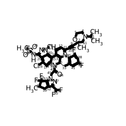 CC(C)N1CCO[C@](C)(C#Cc2ccc(-c3ccc(Cl)c4c(NS(C)(=O)=O)nn(C)c34)c([C@H](Cc3cc(F)cc(F)c3)NC(=O)Cn3nc(C(F)F)c4c3C(F)(F)[C@H](C)C4)n2)C1